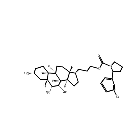 CC[C@H]1[C@@H](O)[C@@H]2[C@H](CC[C@]3(C)[C@@H](CCCOC(=O)N4CCCC4c4cccc(Cl)c4)CC[C@@H]23)[C@@]2(C)CC[C@@H](O)C[C@@H]12